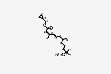 COC(C)(C)CCCC(C)CC=CC(C)=CC(=O)OCC1CC1